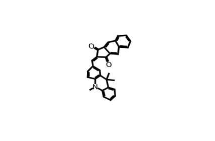 CN1c2ccccc2C(C)(C)c2cc(C=C3C(=O)c4cc5ccccc5cc4C3=O)ccc21